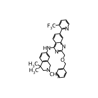 CN1Cc2cc(Nc3nc(COCc4ccccc4)nc4cc(-c5ncccc5C(F)(F)F)ccc34)ccc2C(C)(C)C1